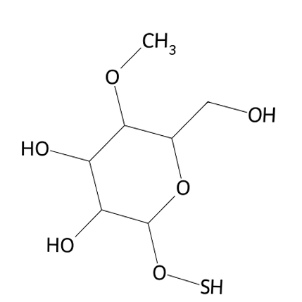 COC1C(CO)OC(OS)C(O)C1O